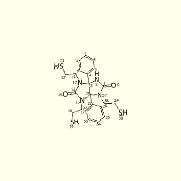 O=C1NC2(c3ccccc3)N(CCS)C(=O)N(CCS)C2(c2ccccc2)N1CCS